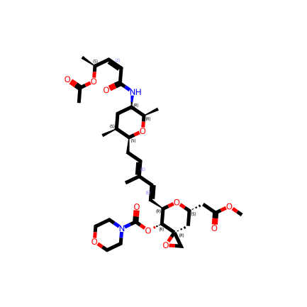 COC(=O)C[C@@H]1C[C@@]2(CO2)[C@H](OC(=O)N2CCOCC2)[C@@H](/C=C/C(C)=C/C[C@@H]2O[C@H](C)[C@H](NC(=O)/C=C\[C@H](C)OC(C)=O)C[C@@H]2C)O1